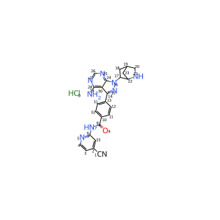 Cl.N#Cc1ccnc(NC(=O)c2ccc(-c3nn(C4CC5CNC4C5)c4ncnc(N)c34)cc2)c1